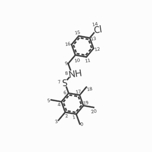 Cc1c(C)c(C)c(SNCc2ccc(Cl)cc2)c(C)c1C